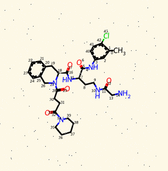 Cc1cc(NC(=O)C(CCNC(=O)CN)NC(=O)[C@@H]2Cc3ccccc3CN2C(=O)CCC(=O)N2CCCCC2)ccc1Cl